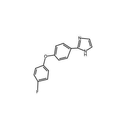 Fc1ccc(Oc2ccc(-c3ncc[nH]3)cc2)cc1